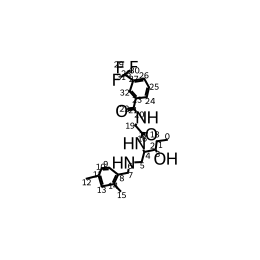 CCC(O)C(CNCc1ccc(C)cc1C)NC(=O)CNC(=O)c1cccc(C(F)(F)F)c1